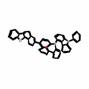 c1ccc(-c2ccccc2N(c2ccc(-c3ccc4c(ccc5c6ccccc6oc45)c3)cc2)c2cccc3c2c2ccccc2n3-c2ccccc2)cc1